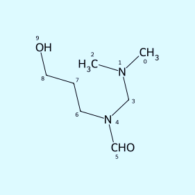 CN(C)CN(C=O)CCCO